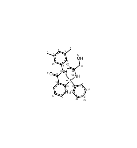 Cc1cc(C)cc(NC(=O)c2cccnc2S(C)(NC(=O)CO)c2ccncc2)c1